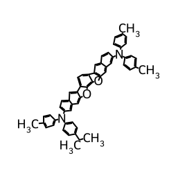 Cc1ccc(N(c2ccc(C)cc2)c2ccc3cc4c(cc3c2)oc2c4ccc3c4cc5ccc(N(c6ccc(C)cc6)c6ccc(C(C)C)cc6)cc5cc4oc32)cc1